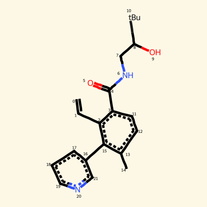 C=Cc1c(C(=O)NCC(O)C(C)(C)C)ccc(C)c1-c1cccnc1